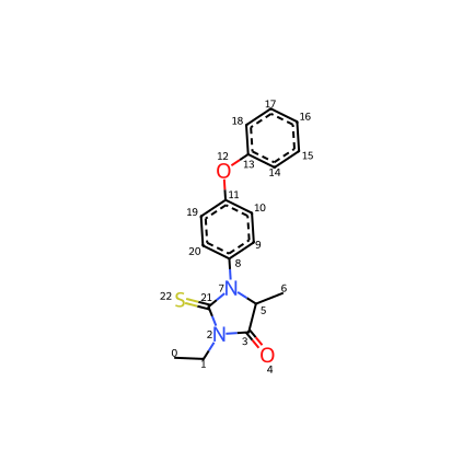 CCN1C(=O)C(C)N(c2ccc(Oc3ccccc3)cc2)C1=S